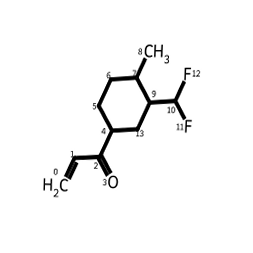 C=CC(=O)C1CCC(C)C(C(F)F)C1